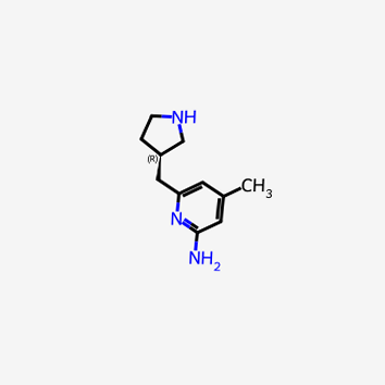 Cc1cc(N)nc(C[C@H]2CCNC2)c1